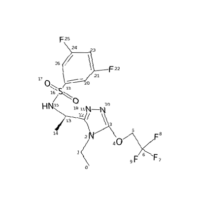 CCn1c(OCC(F)(F)F)nnc1[C@@H](C)NS(=O)(=O)c1cc(F)cc(F)c1